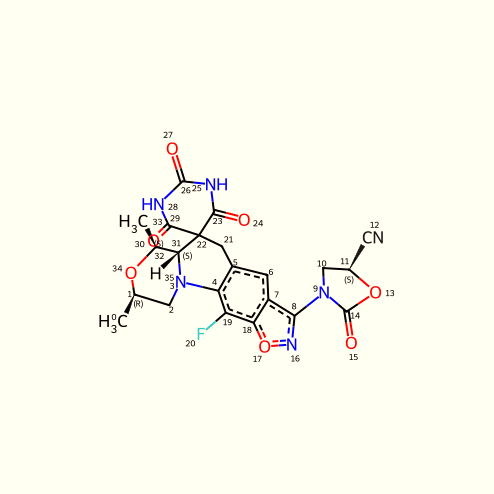 C[C@@H]1CN2c3c(cc4c(N5C[C@@H](C#N)OC5=O)noc4c3F)CC3(C(=O)NC(=O)NC3=O)[C@H]2[C@H](C)O1